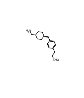 NCC1CCC(=Cc2ccc(CCC=O)cc2)CC1